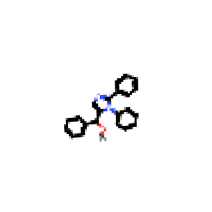 CC(C)OC(c1ccccc1)c1cnc(-c2ccccc2)n1-c1ccccc1